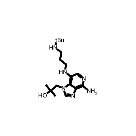 CC(C)(O)Cn1cnc2c(N)ncc(NCCCNC(C)(C)C)c21